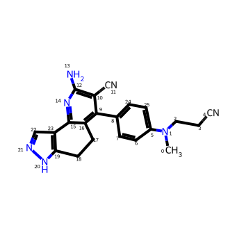 CN(CCC#N)c1ccc(-c2c(C#N)c(N)nc3c2CCc2[nH]ncc2-3)cc1